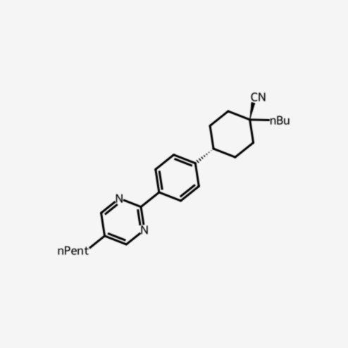 CCCCCc1cnc(-c2ccc([C@H]3CC[C@@](C#N)(CCCC)CC3)cc2)nc1